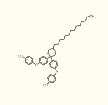 CCCCCCCCCCCCCCC1CCC(c2ccc(Oc3ccc(N)cc3)cc2)(c2ccc(Oc3ccc(N)cc3)cc2)CC1